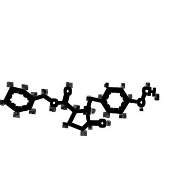 COc1ccc(CN2C(=O)CCC2C(=O)OCc2ccccc2)cc1